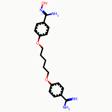 N=C(N)c1ccc(OCCCCCOc2ccc(/C(N)=N/O)cc2)cc1